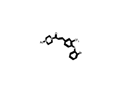 CC(=O)N1CCN(C(=O)/C=C/c2ccc(Sc3ccccc3Br)c(C(F)(F)F)c2)CC1